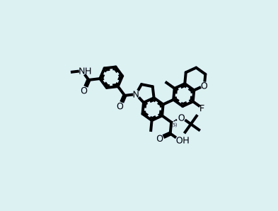 CNC(=O)c1cccc(C(=O)N2CCc3c2cc(C)c([C@H](OC(C)(C)C)C(=O)O)c3-c2cc(F)c3c(c2C)CCCO3)c1